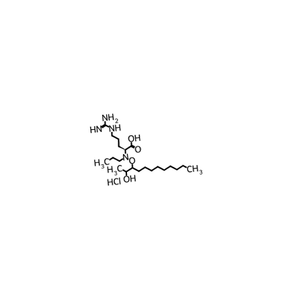 CCCCCCCCCC(ON(CCC)[C@@H](CCCNC(=N)N)C(=O)O)C(C)O.Cl